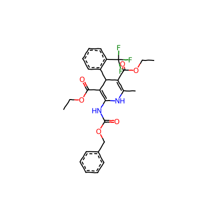 CCOC(=O)C1=C(C)NC(NC(=O)OCc2ccccc2)=C(C(=O)OCC)C1c1ccccc1C(F)(F)F